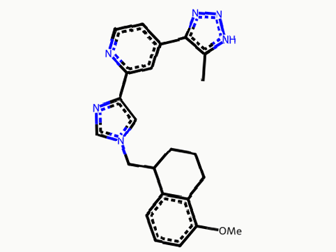 COc1cccc2c1CCCC2Cn1cnc(-c2cc(-c3nn[nH]c3C)ccn2)c1